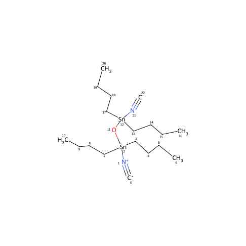 [C-]#[N+][Sn]([CH2]CCC)([CH2]CCC)[O][Sn]([CH2]CCC)([CH2]CCC)[N+]#[C-]